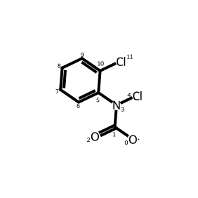 [O]C(=O)N(Cl)c1ccccc1Cl